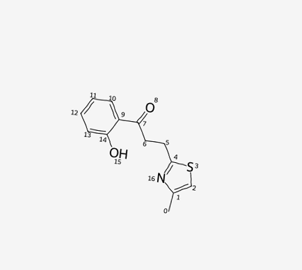 Cc1csc(CCC(=O)c2ccccc2O)n1